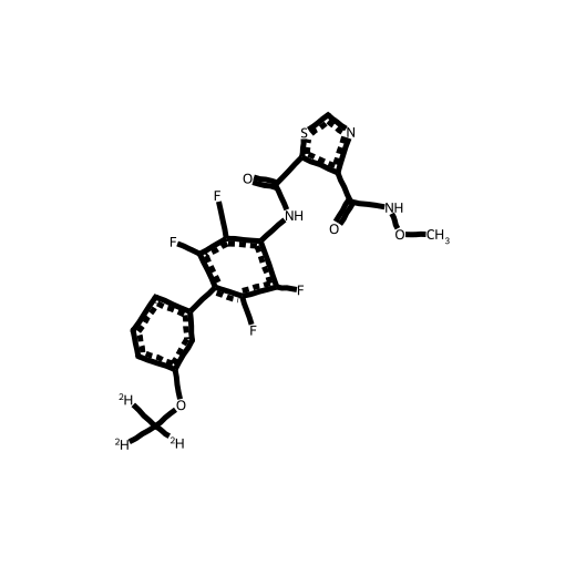 [2H]C([2H])([2H])Oc1cccc(-c2c(F)c(F)c(NC(=O)c3scnc3C(=O)NOC)c(F)c2F)c1